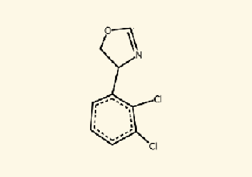 Clc1cccc(C2CO[C]=N2)c1Cl